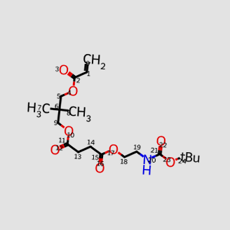 C=CC(=O)OCC(C)(C)COC(=O)CCC(=O)OCCNC(=O)OC(C)(C)C